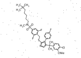 COc1cc(C(C)(C)c2cnc(SCc3c(F)cc(S(=O)(=O)N(C)CCCCC[N+](C)(C)C)cc3F)n2-c2ccc(F)cc2)ccc1Cl